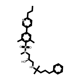 CCCc1ccc(-c2cc(C)c(S(=O)(=O)N(C)C[C@H](O)CNC(C)(C)CCCc3ccccc3)c(C)c2)cn1